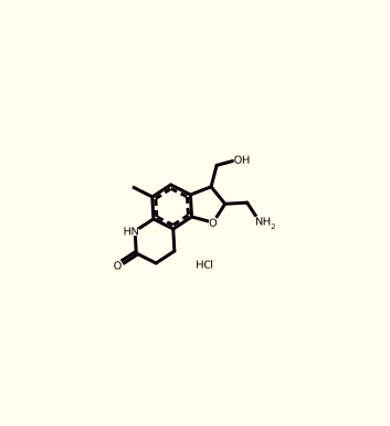 Cc1cc2c(c3c1NC(=O)CC3)OC(CN)C2CO.Cl